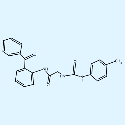 Cc1ccc(NC(=O)NCC(=O)Nc2ccccc2C(=O)c2ccccc2)cc1